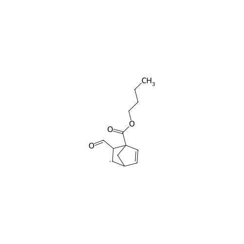 CCCCOC(=O)C12C=CC([CH]C1C=O)C2